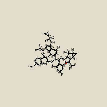 COc1ccc2c(=O)n(-c3ccc(Cl)c4c(NS(=O)(=O)C5CC5)nn(CC(F)F)c34)c([C@H](Cc3cc(F)cc(F)c3)NC(=O)Cn3nc(C(F)F)c4c3C(F)(F)[C@@H]3C[C@H]43)nc2n1